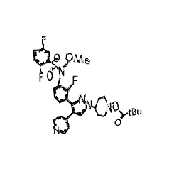 COCN(c1cccc(-c2nn(C3CCN(OC(=O)C(C)(C)C)CC3)cc2-c2ccncc2)c1F)S(=O)(=O)c1cc(F)ccc1F